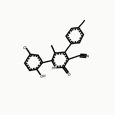 Cc1ccc(-c2c(C)c(-c3cc(Cl)ccc3O)[nH]c(=O)c2C#N)cc1